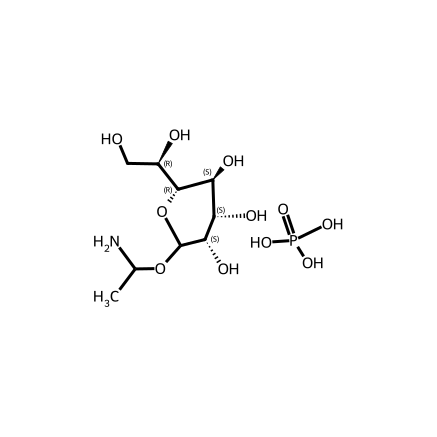 CC(N)OC1O[C@H]([C@H](O)CO)[C@@H](O)[C@H](O)[C@@H]1O.O=P(O)(O)O